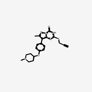 C#CCSc1nc2c(-c3ccc(OC4CCN(C)CC4)cc3)c(C)nn2c(=O)[nH]1